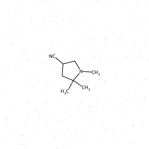 CN1CC(C#N)CC1(C)C